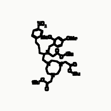 COc1ccc(CN(CC(=O)OC(C)(C)C)C(CCCc2ccc([N+](=O)[O-])cc2)CN2CCN(CC(=O)OC(C)(C)C)CCN(CC(=O)OC(C)(C)C)CC2)c(OC)c1